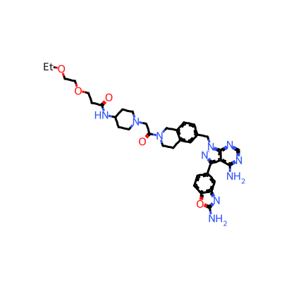 CCOCCOCCC(=O)NC1CCN(CC(=O)N2CCc3cc(Cn4nc(-c5ccc6oc(N)nc6c5)c5c(N)ncnc54)ccc3C2)CC1